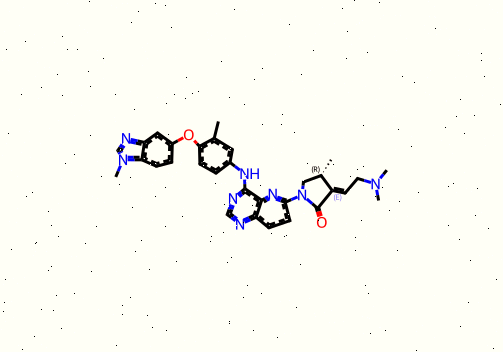 Cc1cc(Nc2ncnc3ccc(N4C[C@H](C)/C(=C\CN(C)C)C4=O)nc23)ccc1Oc1ccc2c(c1)ncn2C